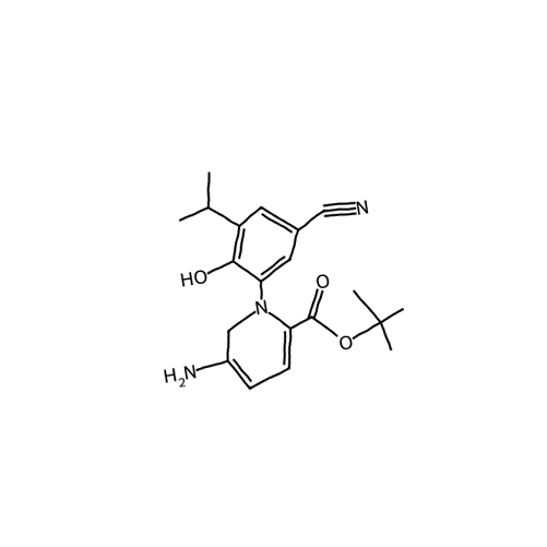 CC(C)c1cc(C#N)cc(N2CC(N)=CC=C2C(=O)OC(C)(C)C)c1O